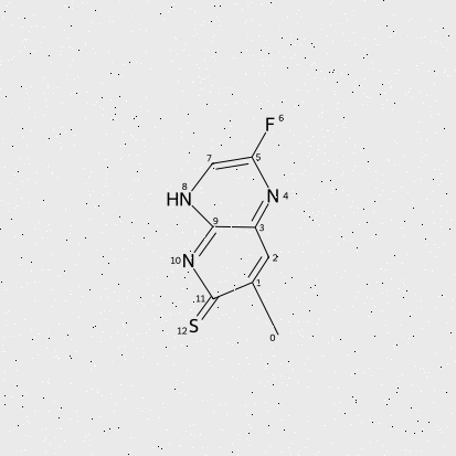 Cc1cc2nc(F)c[nH]c-2nc1=S